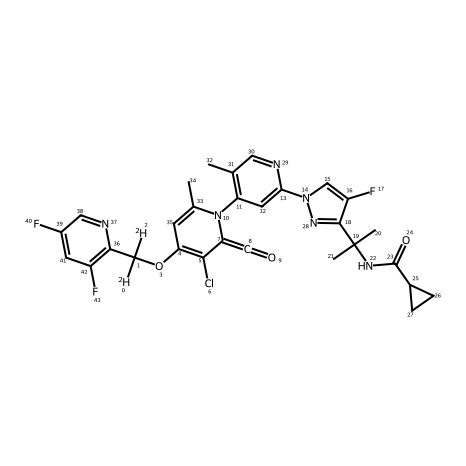 [2H]C([2H])(OC1=C(Cl)C(=C=O)N(c2cc(-n3cc(F)c(C(C)(C)NC(=O)C4CC4)n3)ncc2C)C(C)=C1)c1ncc(F)cc1F